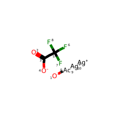 CC(=O)[O-].O=C([O-])C(F)(F)F.[Ag+].[Ag+]